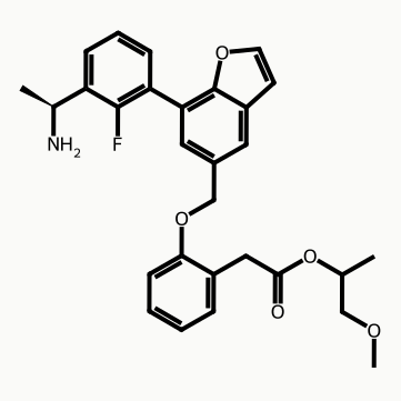 COCC(C)OC(=O)Cc1ccccc1OCc1cc(-c2cccc([C@H](C)N)c2F)c2occc2c1